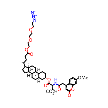 COc1ccc2c(CC(=O)N[C@@H](CC(=O)O)C(=O)O[C@@H]3CC[C@@]4(C)[C@H](CC[C@@H]5[C@@H]4CC[C@]4(C)C([C@H](C)CCC(=O)OCCOCCOCCN=[N+]=[N-])CC[C@@H]54)C3)cc(=O)oc2c1